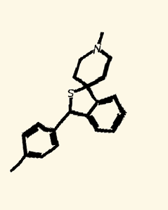 Cc1ccc(C2SC3(CCN(C)CC3)c3ccccc32)cc1